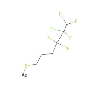 CC(=O)SCCCC(F)(F)C(F)(F)C(F)F